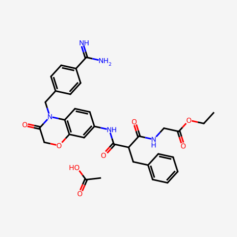 CC(=O)O.CCOC(=O)CNC(=O)C(Cc1ccccc1)C(=O)Nc1ccc2c(c1)OCC(=O)N2Cc1ccc(C(=N)N)cc1